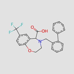 O=C(O)C1c2cc(C(F)(F)F)ccc2OCCN1Cc1ccccc1-c1ccccc1